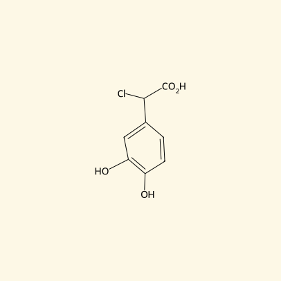 O=C(O)C(Cl)c1ccc(O)c(O)c1